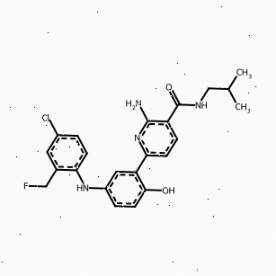 CC(C)CNC(=O)c1ccc(-c2cc(Nc3ccc(Cl)cc3CF)ccc2O)nc1N